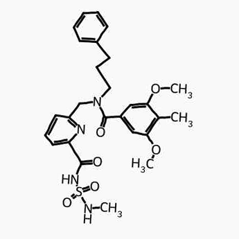 CNS(=O)(=O)NC(=O)c1cccc(CN(CCCc2ccccc2)C(=O)c2cc(OC)c(C)c(OC)c2)n1